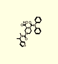 CC(c1ccsc1)N(C)C(=O)N1CCN(C(=O)N(c2ccccc2)c2ccccc2)[C@H](C(=O)O)C1